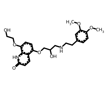 COc1ccc(CCNCC(O)COc2ccc(OCCO)c3[nH]c(=O)ccc23)cc1OC